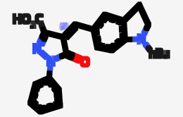 CCCCN1CCc2cc(/C=C3\C(=O)N(c4ccccc4)N=C3C(=O)O)ccc21